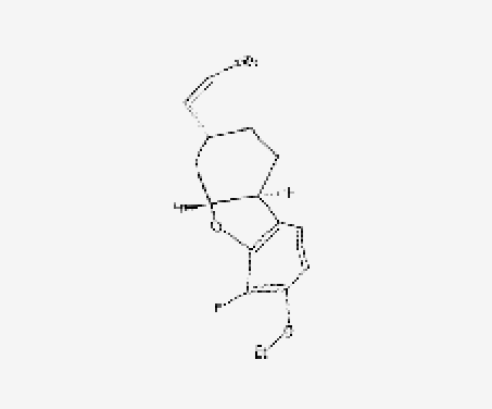 CCC/C=C\[C@@H]1CC[C@H]2c3ccc(OCC)c(F)c3O[C@@H]2C1